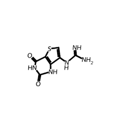 N=C(N)Nc1csc2c(=O)[nH]c(=O)[nH]c12